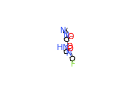 COc1cc(C(=O)Nc2cccn(Cc3ccc(F)cc3)c2=O)ccc1-n1cnc(C)c1